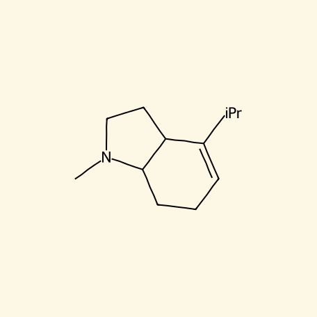 CC(C)C1=CCCC2C1CCN2C